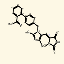 CCCCc1nc(Br)c(/C=C2/C(=O)NC(=O)N2CCCC)n1Cc1ccc(-c2ccccc2C(=O)OC)cc1